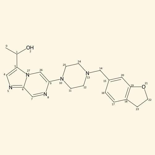 CC(O)c1cnc2cnc(N3CCN(Cc4ccc5c(c4)OCC5)CC3)cn12